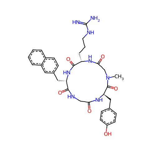 CN1CC(=O)N[C@@H](CCCNC(=N)N)C(=O)N[C@@H](Cc2ccc3ccccc3c2)C(=O)NCC(=O)N[C@H](Cc2ccc(O)cc2)C1=O